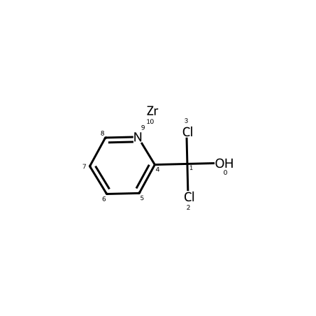 OC(Cl)(Cl)c1ccccn1.[Zr]